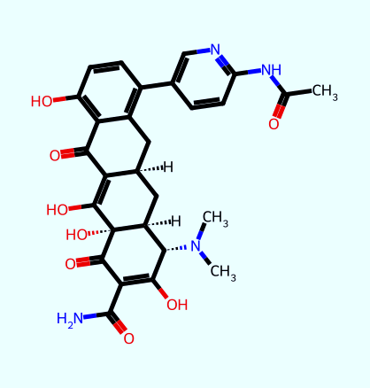 CC(=O)Nc1ccc(-c2ccc(O)c3c2C[C@H]2C[C@H]4[C@H](N(C)C)C(O)=C(C(N)=O)C(=O)[C@@]4(O)C(O)=C2C3=O)cn1